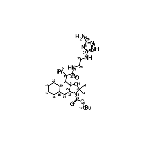 CC(C)[C@H](CC1OC(C)(C)N(C(=O)OC(C)(C)C)[C@H]1CC1CCCCC1)C(=O)NCCNc1nc(N)n[nH]1